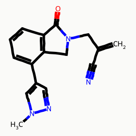 C=C(C#N)CN1Cc2c(cccc2-c2cnn(C)c2)C1=O